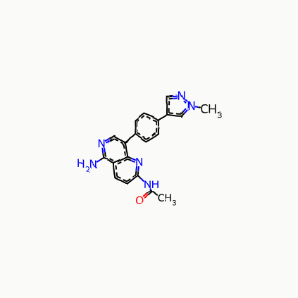 CC(=O)Nc1ccc2c(N)ncc(-c3ccc(-c4cnn(C)c4)cc3)c2n1